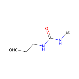 CCNC(=O)NCCC=O